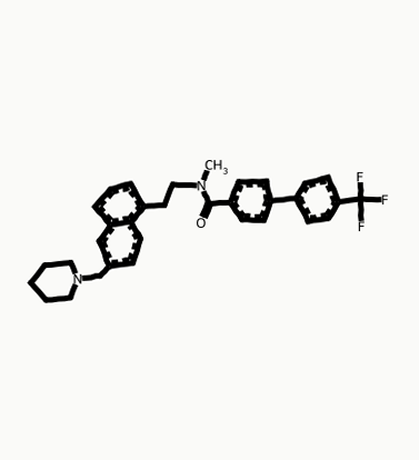 CN(CCc1cccc2cc(CN3CCCCC3)ccc12)C(=O)c1ccc(-c2ccc(C(F)(F)F)cc2)cc1